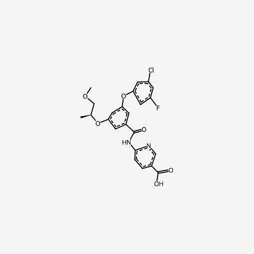 COC[C@H](C)Oc1cc(Oc2cc(F)cc(Cl)c2)cc(C(=O)Nc2ccc(C(=O)O)cn2)c1